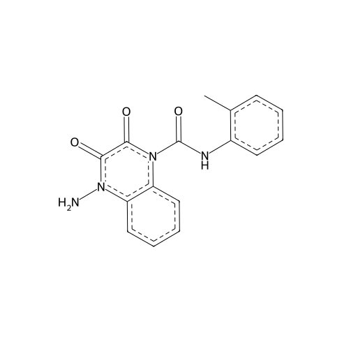 Cc1ccccc1NC(=O)n1c(=O)c(=O)n(N)c2ccccc21